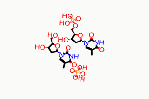 Cc1cn([C@H]2C[C@H](O)[C@@H](CO)O2)c(=O)[nH]c1=O.Cc1cn([C@H]2C[C@H](O)[C@@H](COP(=O)(O)O)O2)c(=O)[nH]c1=O.O=P(O)(O)O